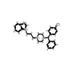 Clc1ccc(C(c2ccccc2)N2CCN(CCCn3cnc4ccccc43)CC2)cc1